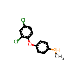 CPc1ccc(Oc2ccc(Cl)cc2Cl)cc1